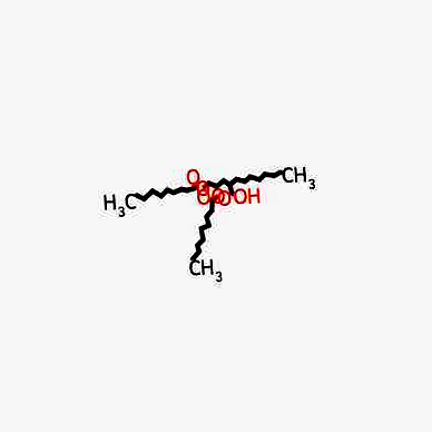 CCCCCCCCCC(=O)OCC(CC(CCCCCCCC)C(=O)O)OC(=O)CCCCCCCCC